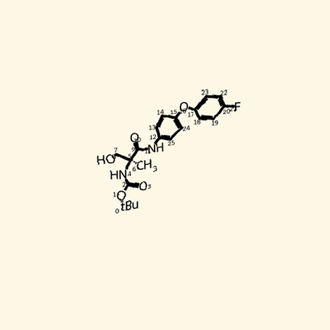 CC(C)(C)OC(=O)N[C@@](C)(CO)C(=O)Nc1ccc(Oc2ccc(F)cc2)cc1